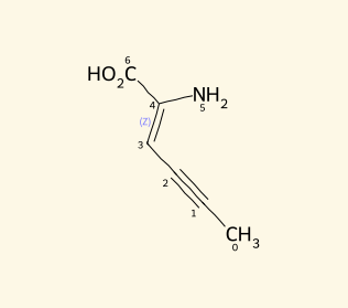 CC#C/C=C(\N)C(=O)O